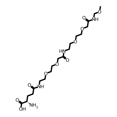 COCNC(=O)COCCOCCNC(=O)COCCOCCNC(=O)CC[C@H](N)C(=O)O